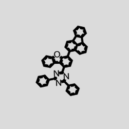 c1ccc(-c2nc(-c3ccccc3)nc(-c3ccc(-c4ccc5c6c(cccc46)-c4ccccc4-5)c4oc5ccccc5c34)n2)cc1